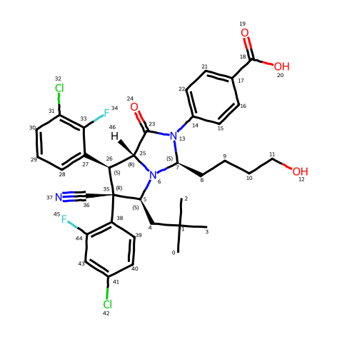 CC(C)(C)C[C@@H]1N2[C@H](CCCCO)N(c3ccc(C(=O)O)cc3)C(=O)[C@H]2[C@H](c2cccc(Cl)c2F)[C@@]1(C#N)c1ccc(Cl)cc1F